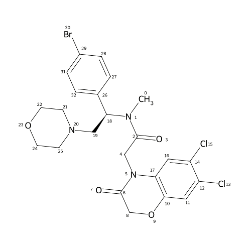 CN(C(=O)CN1C(=O)COc2cc(Cl)c(Cl)cc21)[C@@H](CN1CCOCC1)c1ccc(Br)cc1